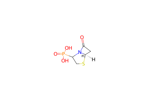 O=C1C[C@H]2SCC(P(=O)(O)O)N12